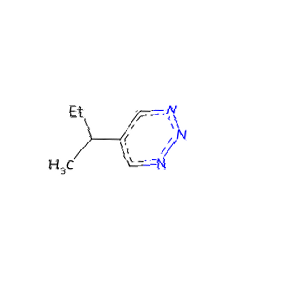 CCC(C)c1[c]nnnc1